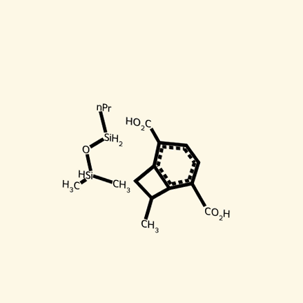 CC1Cc2c(C(=O)O)ccc(C(=O)O)c21.CCC[SiH2]O[SiH](C)C